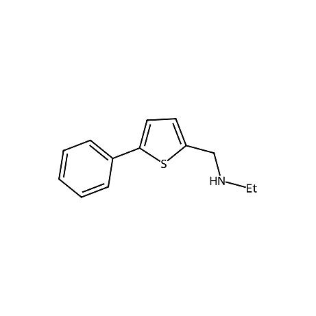 CCNCc1ccc(-c2ccccc2)s1